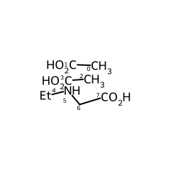 CC(=O)O.CC(=O)O.CCNCC(=O)O